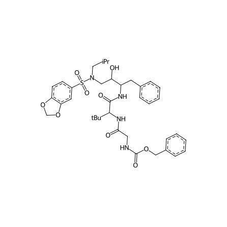 CC(C)CN(CC(O)C(Cc1ccccc1)NC(=O)C(NC(=O)CNC(=O)OCc1ccccc1)C(C)(C)C)S(=O)(=O)c1ccc2c(c1)OCO2